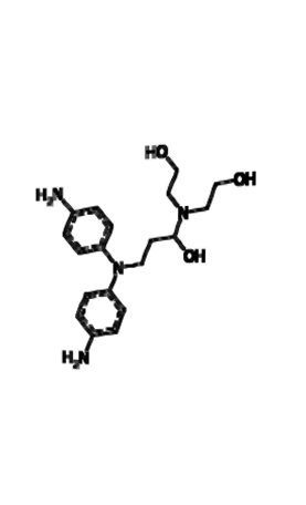 Nc1ccc(N(CCC(O)N(CCO)CCO)c2ccc(N)cc2)cc1